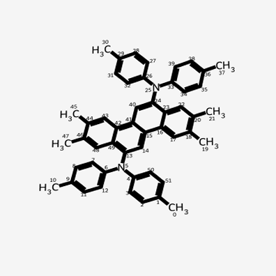 Cc1ccc(N(c2ccc(C)cc2)c2cc3c4cc(C)c(C)cc4c(N(c4ccc(C)cc4)c4ccc(C)cc4)cc3c3cc(C)c(C)cc23)cc1